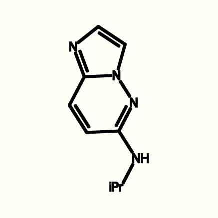 CC(C)Nc1ccc2nccn2n1